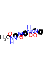 CC(=O)Nc1ccc(NC(=O)c2ccc(NC(=O)N3CCN(c4ccccc4)C3=O)cc2)cn1